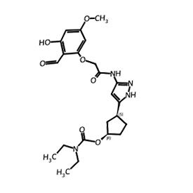 CCN(CC)C(=O)O[C@@H]1CC[C@H](c2cc(NC(=O)COc3cc(OC)cc(O)c3C=O)n[nH]2)C1